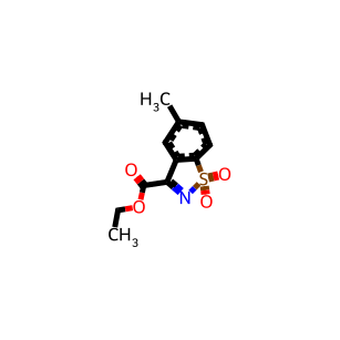 CCOC(=O)C1=NS(=O)(=O)c2ccc(C)cc21